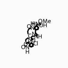 COC(O)Nc1ccc2c(c1)NC(=O)CCCCC(C(=O)N1CCC[C@@]3(C1)OC(=O)Nc1ccc(Cl)cc13)c1nc-2c[nH]1